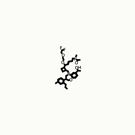 CCCc1cc(C)ccc1C1COc2ccc(C(C)O)cc2N(CC2CCC2C(/C=C/CCN(C)C(C)=O)OCCOCC(F)F)C1